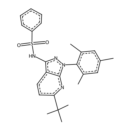 Cc1cc(C)c(-n2nc(NS(=O)(=O)c3ccccc3)c3ccc(C(C)(C)C)nc32)c(C)c1